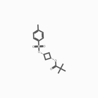 Cc1ccc(S(=O)(=O)O[C@H]2C[C@@H](OC(=O)C(C)(C)C)C2)cc1